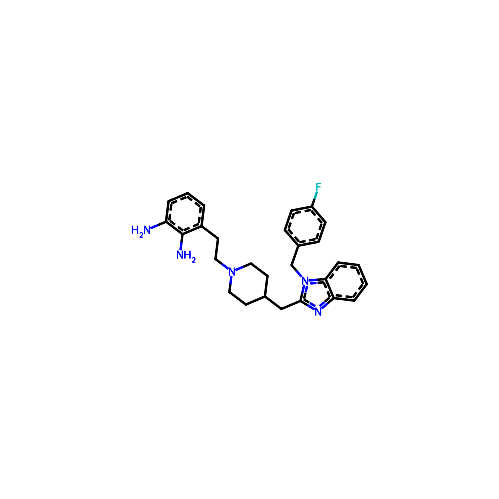 Nc1cccc(CCN2CCC(Cc3nc4ccccc4n3Cc3ccc(F)cc3)CC2)c1N